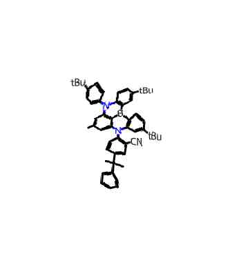 Cc1cc2c3c(c1)N(c1ccc(C(C)(C)c4ccccc4)cc1C#N)c1cc(C(C)(C)C)ccc1B3c1cc(C(C)(C)C)ccc1N2c1ccc(C(C)(C)C)cc1